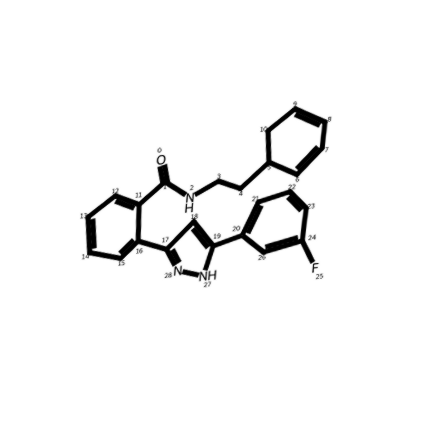 O=C(NCCC1C=CC=CC1)c1ccccc1-c1cc(-c2cccc(F)c2)[nH]n1